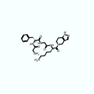 NCCCC[C@@H](NC(=O)CNC(=O)[C@@H](Cc1ccccc1)NC(=O)CN)C(=O)N1CCc2[nH]ncc2C1